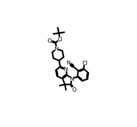 CC(C)(C)OC(=O)N1CCC(c2ccc3c(n2)N(c2cccc(Cl)c2C#N)C(=O)C3(C)C)CC1